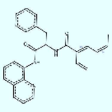 C=C/C(=C\C=C/C)C(=O)NC(Cc1ccccc1)C(=O)Nc1cccc2cccnc12